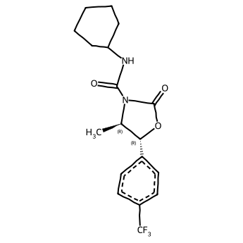 C[C@@H]1[C@@H](c2ccc(C(F)(F)F)cc2)OC(=O)N1C(=O)NC1CCCCC1